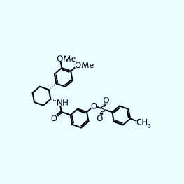 COc1ccc([C@H]2CCCC[C@H]2NC(=O)c2cccc(OS(=O)(=O)c3ccc(C)cc3)c2)cc1OC